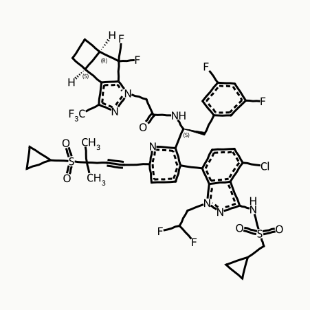 CC(C)(C#Cc1ccc(-c2ccc(Cl)c3c(NS(=O)(=O)CC4CC4)nn(CC(F)F)c23)c([C@H](Cc2cc(F)cc(F)c2)NC(=O)Cn2nc(C(F)(F)F)c3c2C(F)(F)[C@@H]2CC[C@H]32)n1)S(=O)(=O)C1CC1